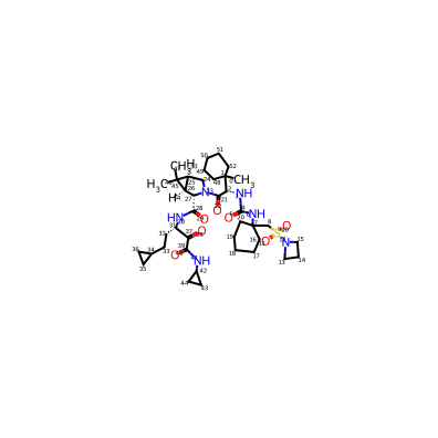 CC1([C@H](NC(=O)NC2(CS(=O)(=O)N3CCC3)CCCCC2)C(=O)N2C[C@H]3[C@@H]([C@H]2C(=O)N[C@@H](CCC2CC2)C(=O)C(=O)NC2CC2)C3(C)C)CCCCC1